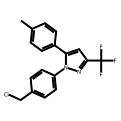 Cc1ccc(-c2cc(C(F)(F)F)nn2-c2ccc(CCl)cc2)cc1